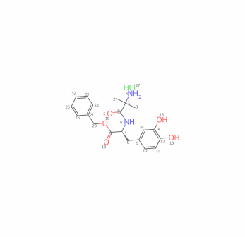 CC(C)(N)C(=O)N[C@@H](Cc1ccc(O)c(O)c1)C(=O)OCc1ccccc1.Cl